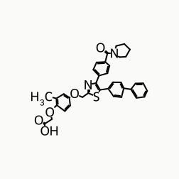 Cc1cc(OCc2nc(-c3ccc(C(=O)N4CCCCC4)cc3)c(-c3ccc(-c4ccccc4)cc3)s2)ccc1OCC(=O)O